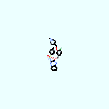 Cc1ccc(S(=O)(=O)Nc2nc3ccccc3nc2OCc2ccc(Cl)c(OCC3CCN(C)CC3)c2)cc1